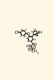 CS(=O)(=O)NC(=O)c1ccc(Oc2ccc(Cl)cc2)c(-c2cc[nH]n2)c1